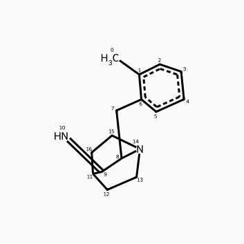 Cc1ccccc1CC1C(=N)C2CCN1CC2